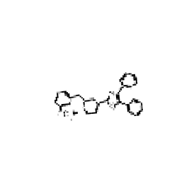 O=C(O)c1cccc(CC2CCC=C(c3nc(-c4ccccc4)c(-c4ccccc4)o3)C2)c1